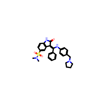 CN(C)S(=O)(=O)c1ccc2c(c1)/C(=C(/Nc1ccc(CN3CCCC3)cc1)c1ccccc1)C(=O)N2